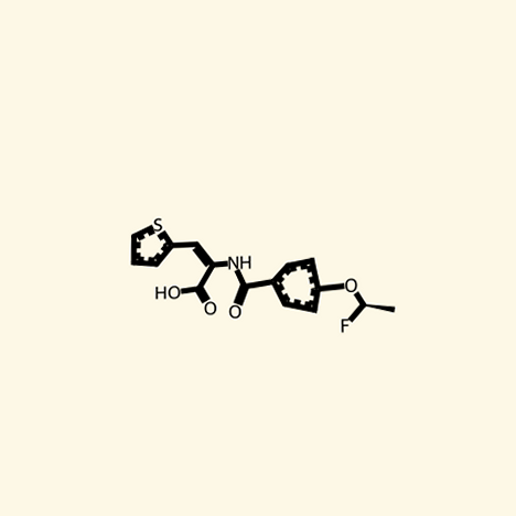 C[C@@H](F)Oc1ccc(C(=O)N/C(=C/c2cccs2)C(=O)O)cc1